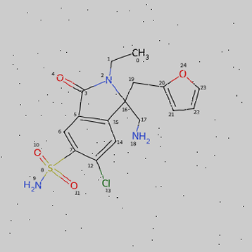 CCN1C(=O)c2cc(S(N)(=O)=O)c(Cl)cc2C1(CN)Cc1ccco1